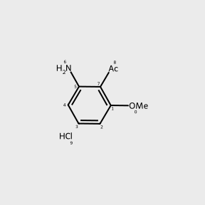 COc1cccc(N)c1C(C)=O.Cl